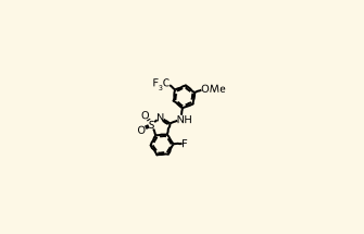 COc1cc(NC2=NS(=O)(=O)c3cccc(F)c32)cc(C(F)(F)F)c1